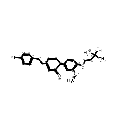 COc1cc(C2C=CC(CCc3ccc(F)cc3)=CC2=O)ccc1OCCC(C)(C)O